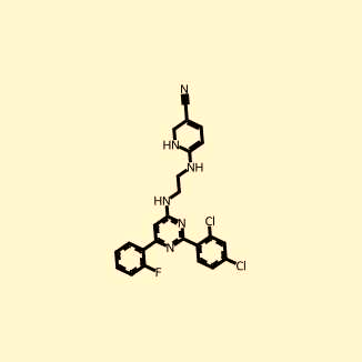 N#CC1=CC=C(NCCNc2cc(-c3ccccc3F)nc(-c3ccc(Cl)cc3Cl)n2)NC1